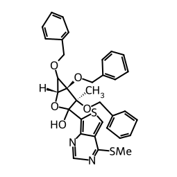 CSc1ncnc2c(C3(O)O[C@@H]4C(OCc5ccccc5)[C@]4(OCc4ccccc4)[C@@]3(C)OCc3ccccc3)scc12